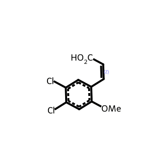 COc1cc(Cl)c(Cl)cc1/C=C\C(=O)O